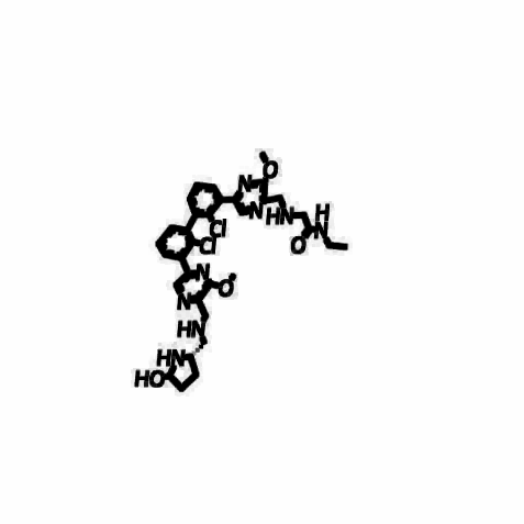 CCNC(=O)CNCc1ncc(-c2cccc(-c3cccc(-c4cnc(CNC[C@@H]5CCC(O)N5)c(OC)n4)c3Cl)c2Cl)nc1OC